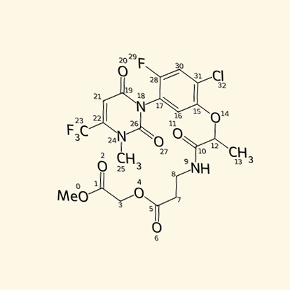 COC(=O)COC(=O)CCNC(=O)C(C)Oc1cc(-n2c(=O)cc(C(F)(F)F)n(C)c2=O)c(F)cc1Cl